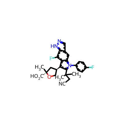 CC(C)(CC#N)c1c([C@H]2CO[C@](C)(C(=O)O)C2)c2c(F)c3[nH]ncc3cc2n1-c1ccc(F)cc1